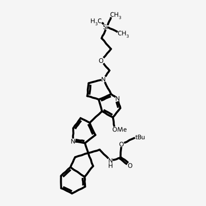 COc1cnc2c(ccn2COCC[Si](C)(C)C)c1-c1ccnc(C2(CNC(=O)OC(C)(C)C)Cc3ccccc3C2)c1